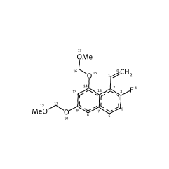 C=Cc1c(F)ccc2cc(OCOC)cc(OCOC)c12